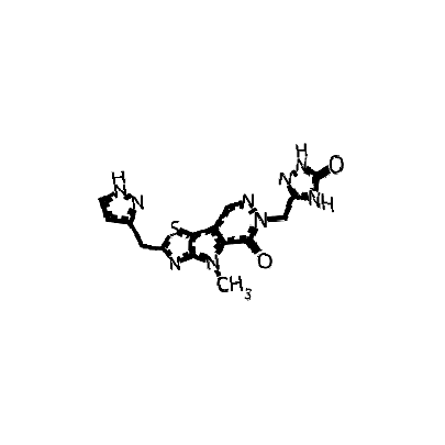 Cn1c2nc(Cc3cc[nH]n3)sc2c2cnn(Cc3n[nH]c(=O)[nH]3)c(=O)c21